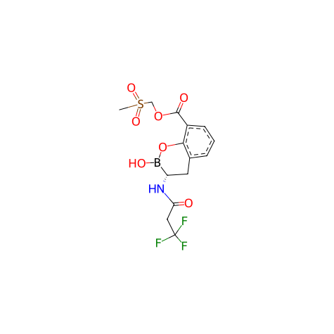 CS(=O)(=O)COC(=O)c1cccc2c1OB(O)[C@@H](NC(=O)CC(F)(F)F)C2